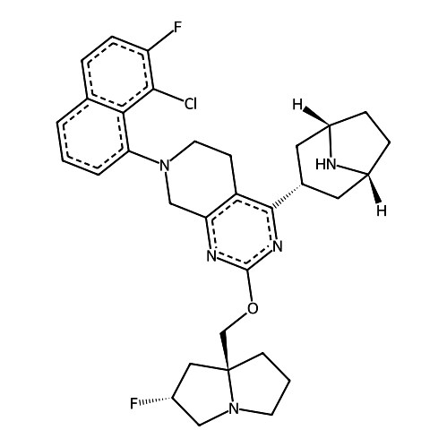 Fc1ccc2cccc(N3CCc4c(nc(OC[C@@]56CCCN5C[C@H](F)C6)nc4[C@H]4C[C@H]5CC[C@@H](C4)N5)C3)c2c1Cl